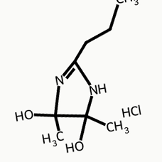 CCCC1=NC(C)(O)C(C)(O)N1.Cl